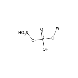 CCOP(=O)(O)OS(=O)(=O)O